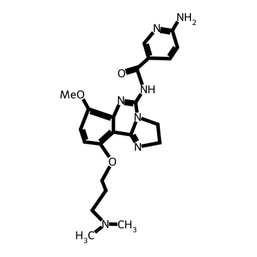 COc1ccc(OCCCN(C)C)c2c1N=C(NC(=O)c1ccc(N)nc1)N1CCN=C21